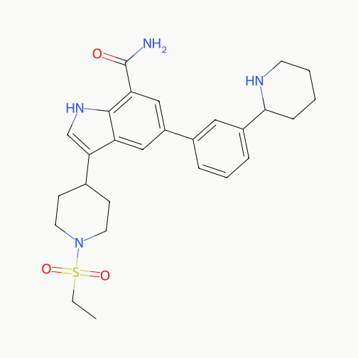 CCS(=O)(=O)N1CCC(c2c[nH]c3c(C(N)=O)cc(-c4cccc(C5CCCCN5)c4)cc23)CC1